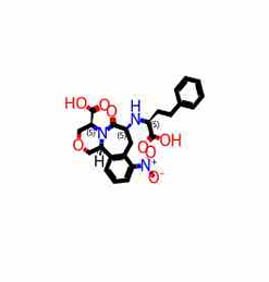 O=C(O)[C@H](CCc1ccccc1)N[C@H]1Cc2c(cccc2[N+](=O)[O-])[C@H]2COC[C@@H](C(=O)O)N2C1=O